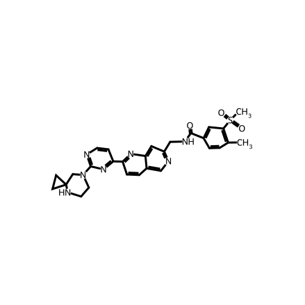 Cc1ccc(C(=O)NCc2cc3nc(-c4ccnc(N5CCNC6(CC6)C5)n4)ccc3cn2)cc1S(C)(=O)=O